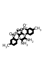 Cc1ccc(N2C(N)=C(N)N(c3ccc(C)cc3[N+](=O)[O-])c3nonc32)c([N+](=O)[O-])c1